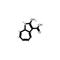 NC1=C(C(=O)O)C2=CC=CC=CC2S1